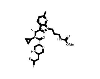 COC(=O)NCCCn1nc([C@@H](C)N(C(=O)[C@H]2CN[C@H](CC(F)F)CO2)C2CC2)c2ccc(C)nc21